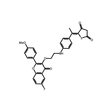 COc1ccc(-c2oc3ccc(F)cc3c(=O)c2OCCNc2ccc(/C(C)=C3\SC(=O)CC3=O)cc2)cc1